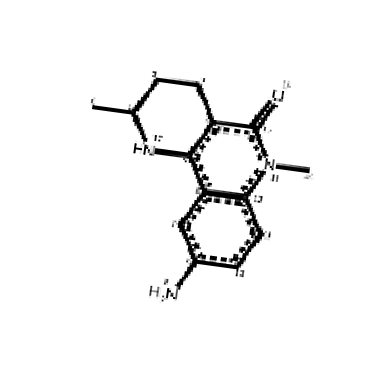 CC1CCc2c(c3cc(N)ccc3n(C)c2=O)N1